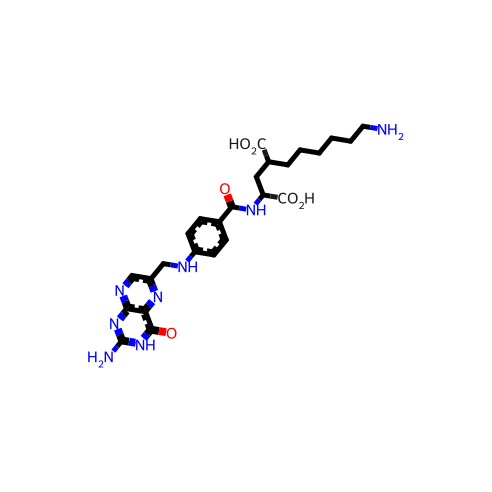 NCCCCCCC(CC(NC(=O)c1ccc(NCc2cnc3nc(N)[nH]c(=O)c3n2)cc1)C(=O)O)C(=O)O